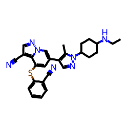 CCNC1CCC(n2ncc(-c3cc(Sc4ccccc4C#N)c4c(C#N)cnn4c3)c2C)CC1